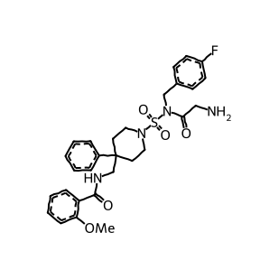 COc1ccccc1C(=O)NCC1(c2ccccc2)CCN(S(=O)(=O)N(Cc2ccc(F)cc2)C(=O)CN)CC1